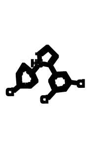 Clc1ccc([SH]2[C]=CC=C2c2cc(Cl)cc(Cl)c2)cc1